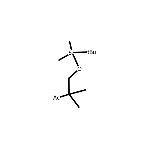 CC(=O)C(C)(C)CO[Si](C)(C)C(C)(C)C